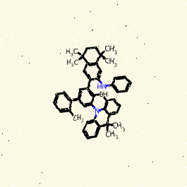 Cc1ccccc1-c1cc(-c2cc3c(cc2Nc2ccccc2)C(C)(C)CCC3(C)C)c2c(c1)N1c3ccccc3C(C)(C)c3cccc(c31)B2